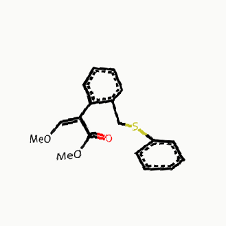 COC=C(C(=O)OC)c1ccccc1CSc1ccccc1